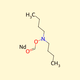 CCCCN(CCCC)OC=O.[Nd]